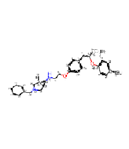 CCOC(=O)[C@H](Cc1ccc(OCCN[C@H]2C3CN(CC4CCCCC4)C[C@@H]32)cc1)Oc1ccc(C(C)(C)C)cc1